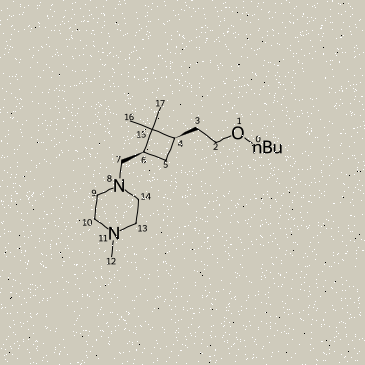 CCCCOCC[C@H]1C[C@@H](CN2CCN(C)CC2)C1(C)C